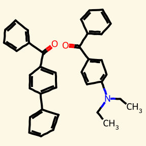 CCN(CC)c1ccc(C(=O)c2ccccc2)cc1.O=C(c1ccccc1)c1ccc(-c2ccccc2)cc1